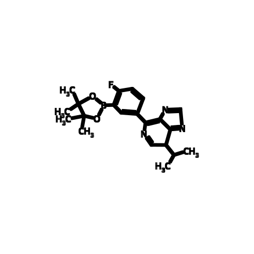 CC(C)C1C=NC(c2ccc(F)c(B3OC(C)(C)C(C)(C)O3)c2)=C2N=CN=C21